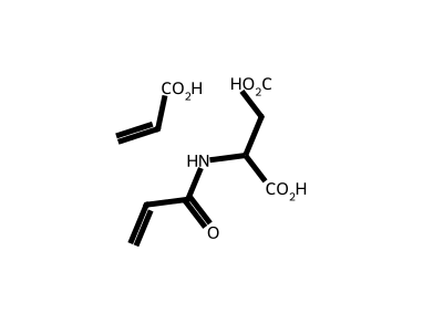 C=CC(=O)NC(CC(=O)O)C(=O)O.C=CC(=O)O